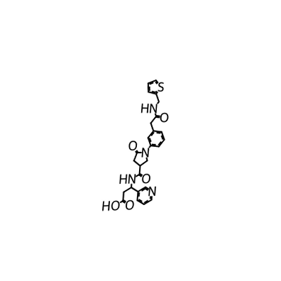 O=C(O)CC(NC(=O)C1CC(=O)N(c2cccc(CC(=O)NCc3cccs3)c2)C1)c1cccnc1